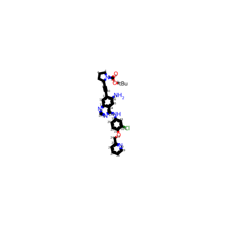 CC(C)(C)OC(=O)N1CCCC1C#Cc1cc2ncnc(Nc3ccc(OCc4ccccn4)c(Cl)c3)c2cc1N